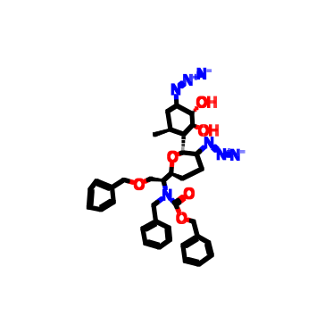 C[C@H]1CC(N=[N+]=[N-])[C@H](O)[C@@H](O)C1[C@H]1O[C@H]([C@H](COCc2ccccc2)N(Cc2ccccc2)C(=O)OCc2ccccc2)CCC1N=[N+]=[N-]